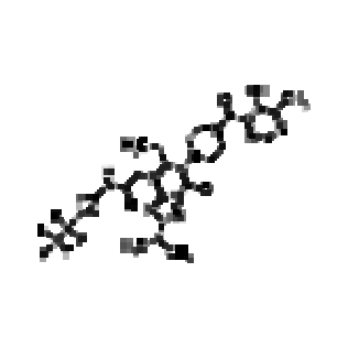 CCc1c(N2CCN(C(=O)c3ncnc(C)c3O)CC2)c(=O)n2nc(N(C)C)nc2n1CC(=O)NC12CC(C(F)(F)C(F)(F)F)(C1)C2